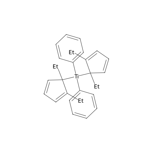 CCC1=CC=C[C]1(CC)[Ti]([c]1ccccc1)([c]1ccccc1)[C]1(CC)C=CC=C1CC